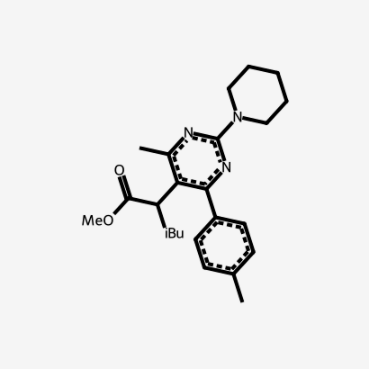 CCC(C)C(C(=O)OC)c1c(C)nc(N2CCCCC2)nc1-c1ccc(C)cc1